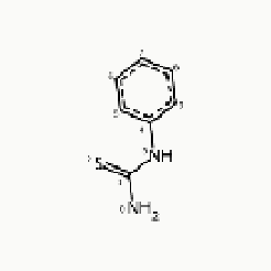 NC(=S)Nc1cc[c]cc1